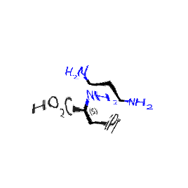 CC(C)C[C@H](N)C(=O)O.NCCCN